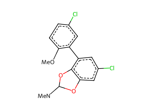 CNC1Oc2cc(Cl)cc(-c3cc(Cl)ccc3OC)c2O1